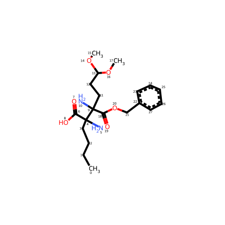 CCCCC(N)(C(=O)O)C(N)(CCC(OC)OC)C(=O)OCc1ccccc1